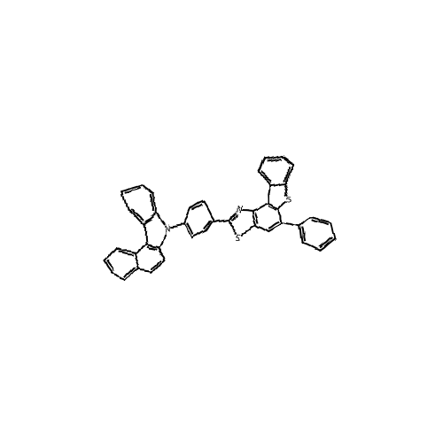 c1ccc(-c2cc3sc(-c4ccc(-n5c6ccccc6c6c7ccccc7ccc65)cc4)nc3c3c2sc2ccccc23)cc1